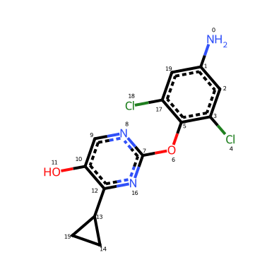 Nc1cc(Cl)c(Oc2ncc(O)c(C3CC3)n2)c(Cl)c1